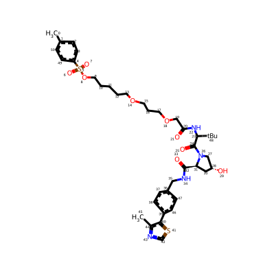 Cc1ccc(S(=O)(=O)OCCCCCOCCCOCC(=O)NC(C(=O)N2C[C@H](O)C[C@H]2C(=O)NCc2ccc(-c3scnc3C)cc2)C(C)(C)C)cc1